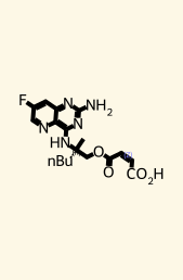 CCCC[C@](C)(COC(=O)/C=C\C(=O)O)Nc1nc(N)nc2cc(F)cnc12